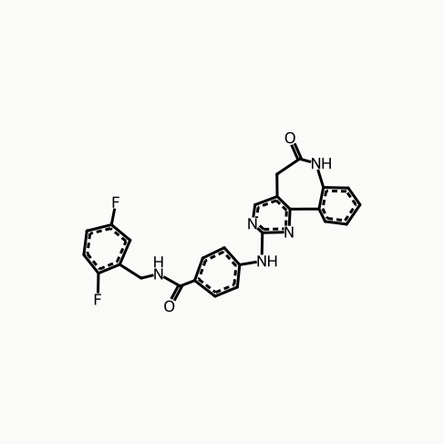 O=C1Cc2cnc(Nc3ccc(C(=O)NCc4cc(F)ccc4F)cc3)nc2-c2ccccc2N1